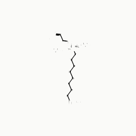 C=CCO[Si](CCCCCCCCCCCCCCCCCC)(OC)OC